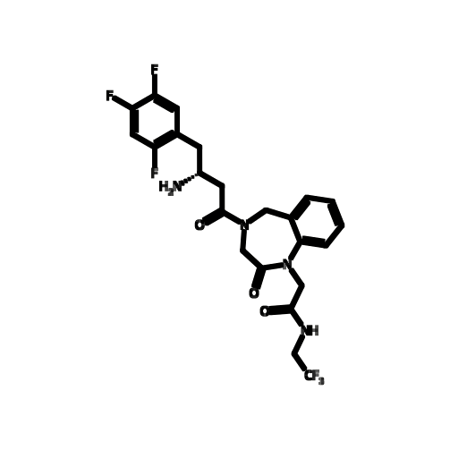 N[C@@H](CC(=O)N1CC(=O)N(CC(=O)NCC(F)(F)F)c2ccccc2C1)Cc1cc(F)c(F)cc1F